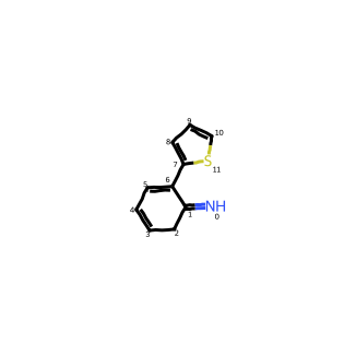 N=C1CC=C[C]=C1c1cccs1